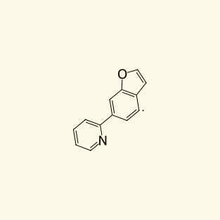 [c]1cc(-c2ccccn2)cc2occc12